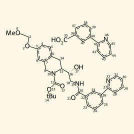 COCOc1ccc2c(c1)CN(C(=O)OC(C)(C)C)C([C@H](O)CNC(=O)c1cccc(-c3ccccn3)c1)C2.O=C(O)c1cccc(-c2ccccn2)c1